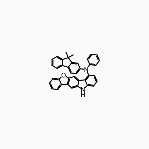 CC1(C)c2ccccc2-c2ccc(N(c3ccccc3)c3cccc4[nH]c5cc6c(cc5c34)oc3ccccc36)cc21